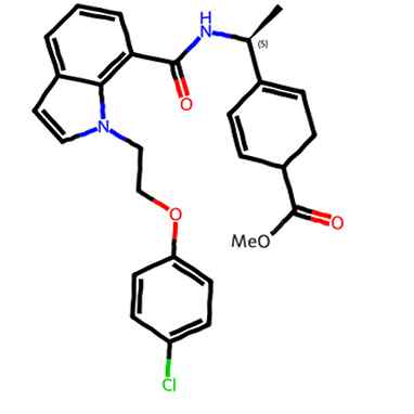 COC(=O)C1C=CC([C@H](C)NC(=O)c2cccc3ccn(CCOc4ccc(Cl)cc4)c23)=CC1